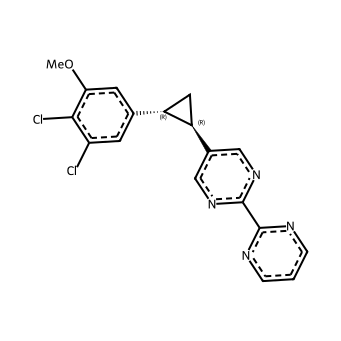 COc1cc([C@@H]2C[C@H]2c2cnc(-c3ncccn3)nc2)cc(Cl)c1Cl